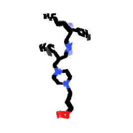 C=C/C=C(/C)C/N=C\C(C)CN1CCN(CCCO)CC1